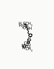 Cc1ncnc(C)c1C(=O)N1CC2CN(c3cccc(CCCNC(=O)OC(C)(C)C)c3)CC2C1